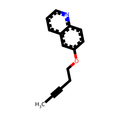 CC#CCCOc1ccc2ncccc2c1